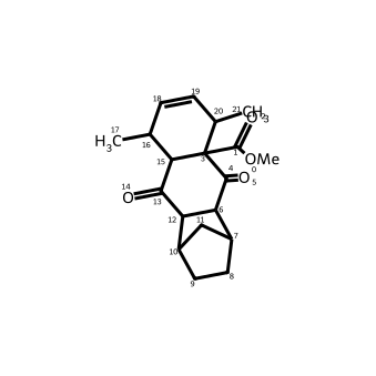 COC(=O)C12C(=O)C3C4CCC(C4)C3C(=O)C1C(C)C=CC2C